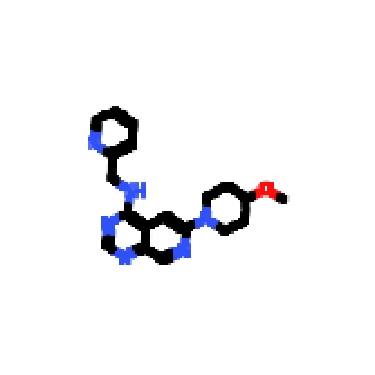 COC1CCN(c2cc3c(NCc4ccccn4)ncnc3cn2)CC1